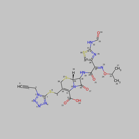 C#CCn1nnnc1SCC1=C(C(=O)O)N2C(=O)C(NC(=O)/C(=N\OC(C)C)c3csc(NC=O)n3)[C@H]2SC1